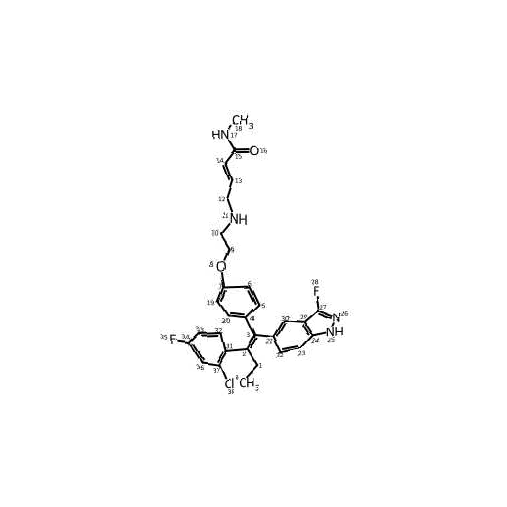 CC/C(=C(/c1ccc(OCCNCC=CC(=O)NC)cc1)c1ccc2[nH]nc(F)c2c1)c1ccc(F)cc1Cl